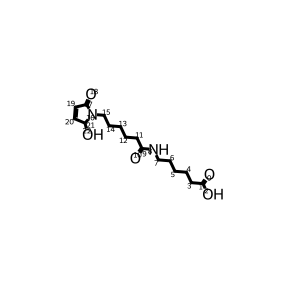 O=C(O)CCCCCNC(=O)CCCCCN1C(=O)C=CC1O